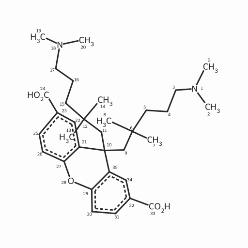 CN(C)CCCC(C)(C)CC1(CC(C)(C)CCCN(C)C)c2cc(C(=O)O)ccc2Oc2ccc(C(=O)O)cc21